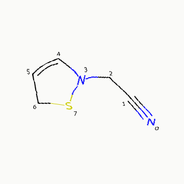 N#CCN1C=CCS1